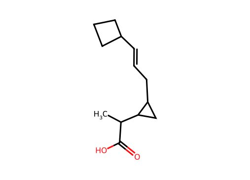 CC(C(=O)O)C1CC1CC=CC1CCC1